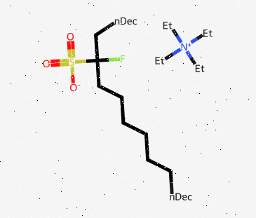 CCCCCCCCCCCCCCCCC(F)(CCCCCCCCCCC)S(=O)(=O)[O-].CC[N+](CC)(CC)CC